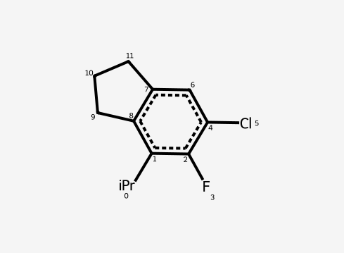 CC(C)c1c(F)c(Cl)cc2c1CCC2